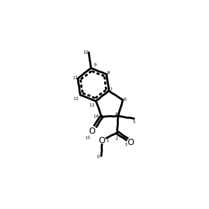 COC(=O)C1(C)Cc2cc(C)ccc2C1=O